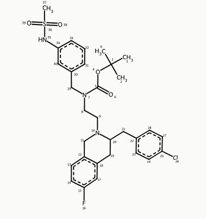 CC(C)(C)OC(=O)N(CCN1Cc2ccc(F)cc2CC1Cc1ccc(Cl)cc1)Cc1cccc(NS(C)(=O)=O)c1